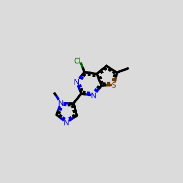 Cc1cc2c(Cl)nc(-c3cncn3C)nc2s1